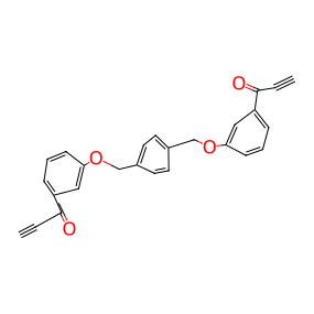 C#CC(=O)c1cccc(OCc2ccc(COc3cccc(C(=O)C#C)c3)cc2)c1